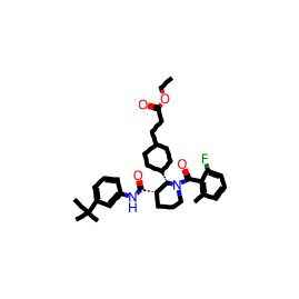 CCOC(=O)CCC1CCC([C@H]2[C@@H](C(=O)Nc3cccc(C(C)(C)C)c3)CCCN2C(=O)c2c(C)cccc2F)CC1